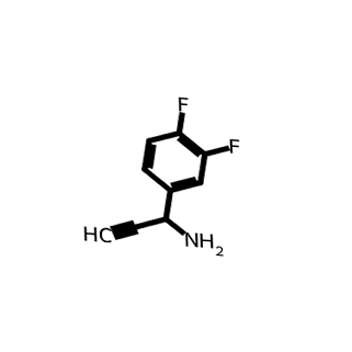 C#CC(N)c1ccc(F)c(F)c1